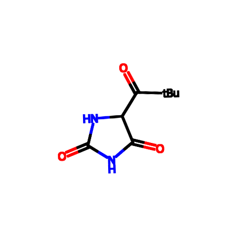 CC(C)(C)C(=O)C1NC(=O)NC1=O